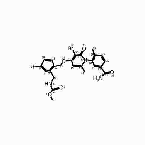 COC(=O)NCc1cc(F)ccc1COc1cc(C)n(-c2cc(C(N)=O)ccc2C)c(=O)c1Br